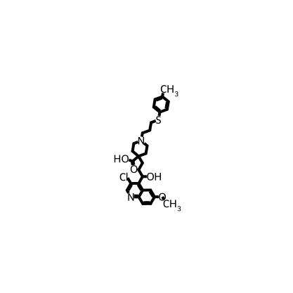 COc1ccc2ncc(Cl)c(C(O)CCC3(C(=O)O)CCN(CCCSc4ccc(C)cc4)CC3)c2c1